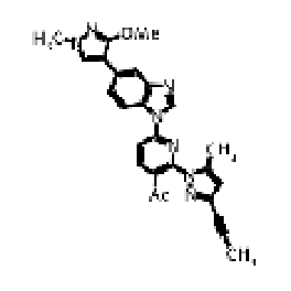 CC#Cc1cc(C)n(-c2nc(-n3cnc4cc(-c5cn(C)nc5OC)ccc43)ccc2C(C)=O)n1